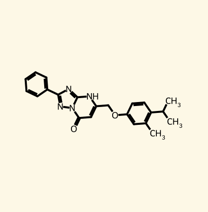 Cc1cc(OCc2cc(=O)n3nc(-c4ccccc4)nc3[nH]2)ccc1C(C)C